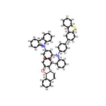 C1=CC2c3c(cccc3-c3ccccc3N(c3ccc(-c4ccc5sc6ccccc6c5c4)cc3)c3cccc(-n4c5ccccc5c5ccccc54)c3)OC2c2ccccc21